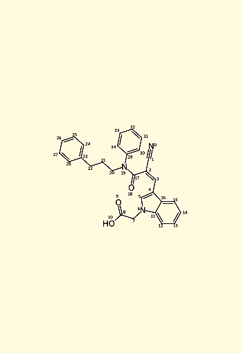 N#CC(=Cc1cn(CC(=O)O)c2ccccc12)C(=O)N(CCCc1ccccc1)c1ccccc1